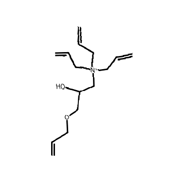 C=CCOCC(O)C[N+](CC=C)(CC=C)CC=C